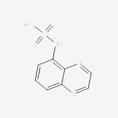 CS(=O)(=O)Nc1cccc2nccnc12